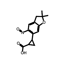 CC1(C)Cc2cc(N=O)c(C3CC3C(=O)O)cc2O1